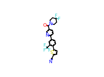 N#Cc1ccc(-c2ccc(-c3ccc(C(=O)N4CCC(F)(F)CC4)cn3)cc2C(F)(F)F)s1